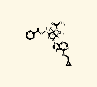 CC(=O)O[C@@]1(C)[C@@H](COC(=O)c2ccccc2)O[C@@H](n2cnc3c(NCC4CC4)ncnc32)[C@]1(C)F